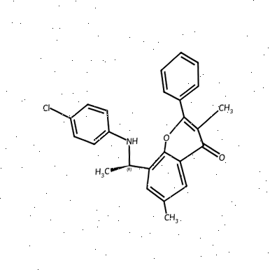 Cc1cc([C@@H](C)Nc2ccc(Cl)cc2)c2oc(-c3ccccc3)c(C)c(=O)c2c1